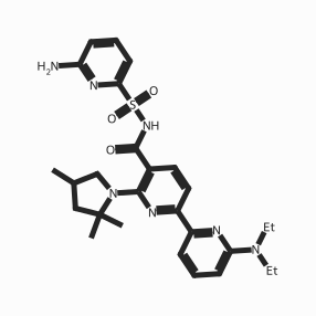 CCN(CC)c1cccc(-c2ccc(C(=O)NS(=O)(=O)c3cccc(N)n3)c(N3CC(C)CC3(C)C)n2)n1